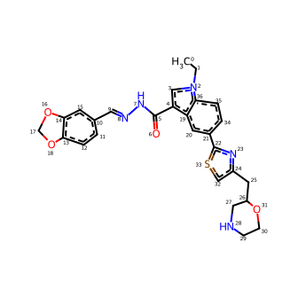 CCn1cc(C(=O)N/N=C/c2ccc3c(c2)OCO3)c2cc(-c3nc(CC4CNCCO4)cs3)ccc21